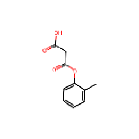 Cc1ccccc1OC(=O)CC(=O)O